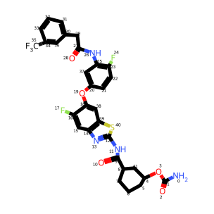 NC(=O)OC1CCCC(C(=O)Nc2nc3cc(F)c(Oc4ccc(F)c(NC(=O)Cc5cccc(C(F)(F)F)c5)c4)cc3s2)C1